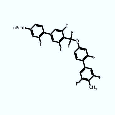 CCCCCc1ccc(-c2cc(F)c(C(F)(F)Oc3ccc(-c4cc(F)c(C)c(F)c4)c(F)c3)c(F)c2)c(F)c1